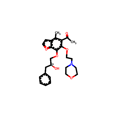 CC(=O)c1c(OCCN2CCOCC2)c(OC[C@@H](O)Cc2ccccc2)c2occc2c1C